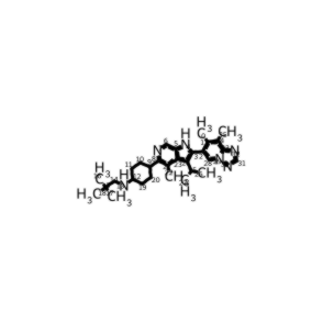 Cc1c(-c2[nH]c3cnc(C4CCC(NCC(C)(C)C)CC4)c(C)c3c2C(C)C)cn2ncnc2c1C